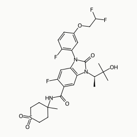 C[C@@H](n1c(=O)n(-c2cc(OCC(F)F)ccc2F)c2cc(F)c(C(=O)NC3(C)CCS(=O)(=O)CC3)cc21)C(C)(C)O